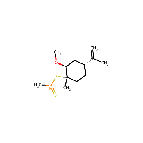 C=C(C)[C@@H]1CC[C@](C)(S[PH](C)=S)[C@@H](OC)C1